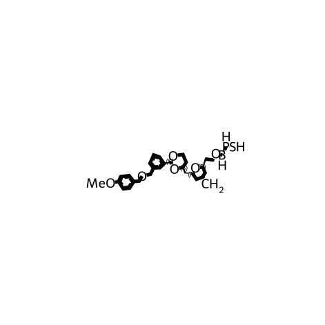 C=C1C[C@H](C[C@@H]2CCO[C@H](c3cccc(COCc4ccc(OC)cc4)c3)O2)O[C@@H](CCOBPS)C1